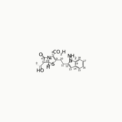 C[C@@H](O)[C@H]1C(=O)N2C(C(=O)O)=C(CCc3cc4ccccc4n3N)S[C@H]12